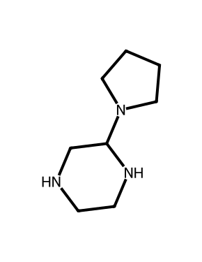 C1CCN(C2CNCCN2)C1